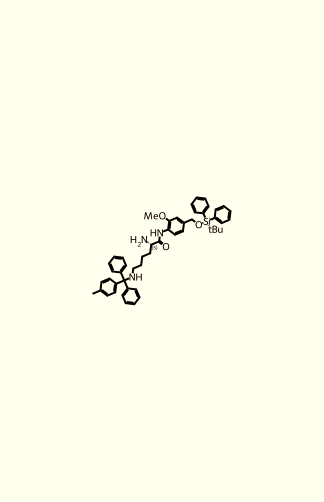 COc1cc(CO[Si](c2ccccc2)(c2ccccc2)C(C)(C)C)ccc1NC(=O)[C@@H](N)CCCCNC(c1ccccc1)(c1ccccc1)c1ccc(C)cc1